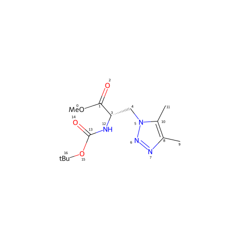 COC(=O)[C@H](Cn1nnc(C)c1C)NC(=O)OC(C)(C)C